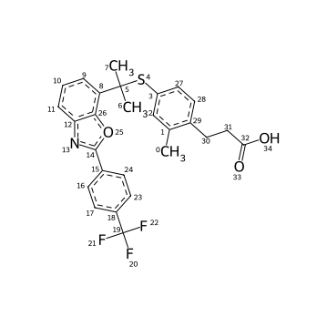 Cc1cc(SC(C)(C)c2cccc3nc(-c4ccc(C(F)(F)F)cc4)oc23)ccc1CCC(=O)O